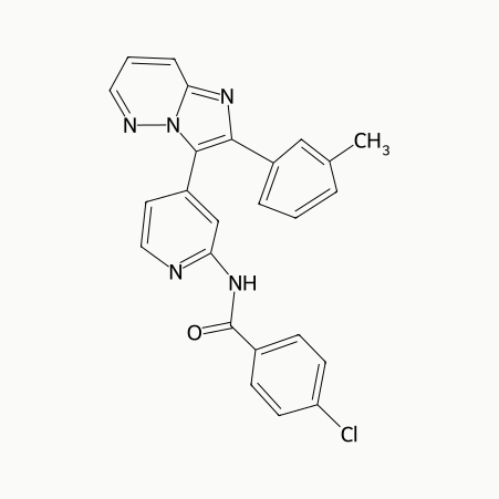 Cc1cccc(-c2nc3cccnn3c2-c2ccnc(NC(=O)c3ccc(Cl)cc3)c2)c1